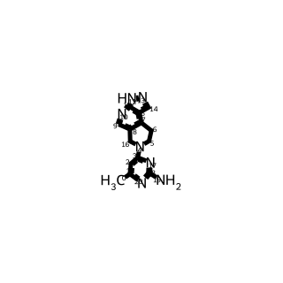 Cc1cc(N2CCc3c(cnc4[nH]ncc34)C2)nc(N)n1